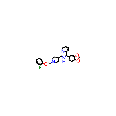 Fc1ccccc1OCCN1CCC(CNC(c2ccc3c(c2)OCO3)c2ccccn2)CC1